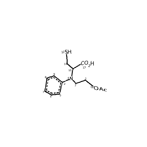 CC(=O)OCCN(c1ccccc1)C(CS)C(=O)O